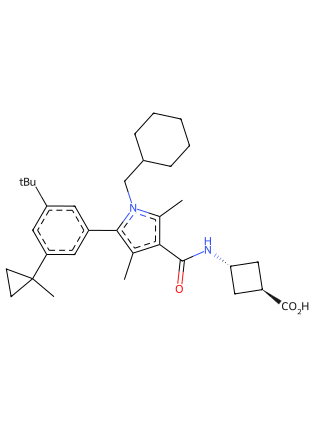 Cc1c(C(=O)N[C@H]2C[C@H](C(=O)O)C2)c(C)n(CC2CCCCC2)c1-c1cc(C(C)(C)C)cc(C2(C)CC2)c1